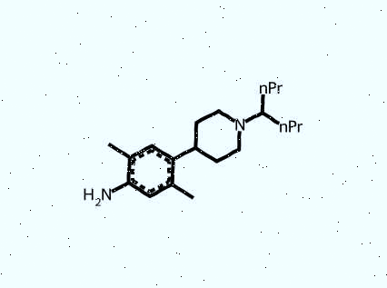 CCCC(CCC)N1CCC(c2cc(C)c(N)cc2C)CC1